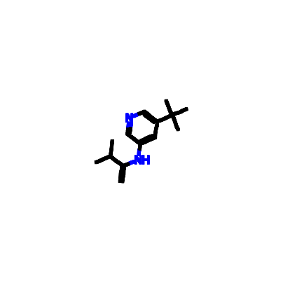 C=C(Nc1cncc(C(C)(C)C)c1)C(C)C